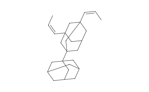 C/C=C\C12CC3CC(/C=C\C)(C1)CC(C14CC5CC(CC(C5)C1)C4)(C3)C2